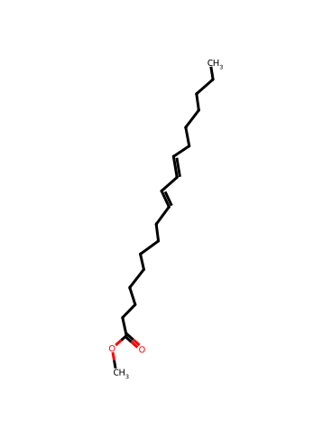 CCCCCCC=CC=CCCCCCCCC(=O)OC